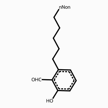 CCCCCCCCCCCCCCc1cccc(O)c1C=O